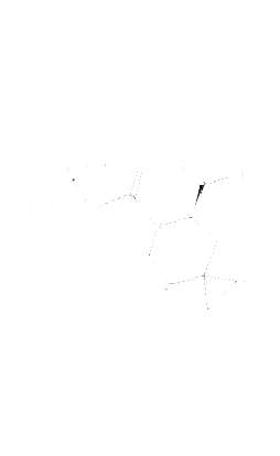 CC(=O)[C@H]1CC2(CCN1C(=O)OC(C)(C)C)CC2